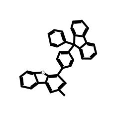 Cc1cc(-c2ccc(C3(c4ccccc4)c4ccccc4-c4ccccc43)cc2)c2oc3ccccc3c2c1